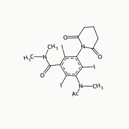 CC(=O)N(C)c1c(I)c(C(=O)N(C)C)c(I)c(N2C(=O)CCCC2=O)c1I